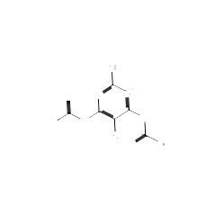 CCCC(=O)Oc1nc(N)nc(OC(=O)CCC)c1N